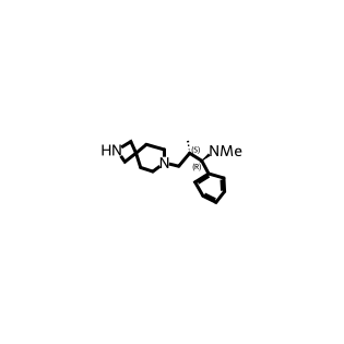 CN[C@@H](c1ccccc1)[C@@H](C)CN1CCC2(CC1)CNC2